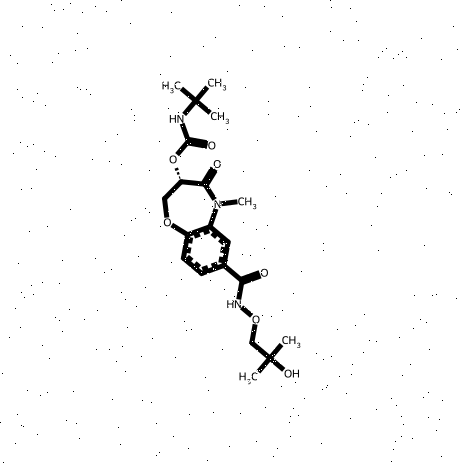 CN1C(=O)[C@@H](OC(=O)NC(C)(C)C)COc2ccc(C(=O)NOCC(C)(C)O)cc21